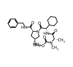 C[C@@H](C(=O)N[C@H](C(=O)N1C[C@@H](N)C[C@H]1C(=O)NCc1ccccc1)C1CCCCC1)N(C)C(=O)OC(C)(C)C